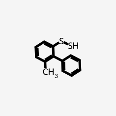 Cc1cccc(SS)c1-c1ccccc1